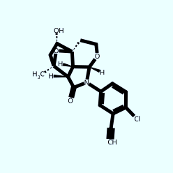 C#Cc1cc(N2C(=O)[C@H]3[C@H]4[C@@H]2OCC[C@@]42O[C@]3(C)C[C@@H]2O)ccc1Cl